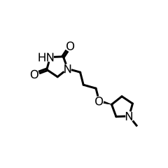 CN1CC[C@H](OCCCN2CC(=O)NC2=O)C1